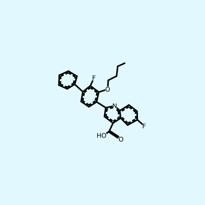 CCCCOc1c(-c2cc(C(=O)O)c3cc(F)ccc3n2)ccc(-c2ccccc2)c1F